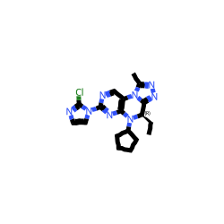 CC[C@@H]1c2nnc(C)n2-c2cnc(-n3ccnc3Cl)nc2N1C1CCCC1